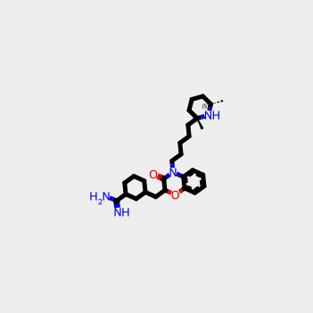 C[C@H]1CCC[C@@](C)(CCCCCN2C(=O)C(CC3CCCC(C(=N)N)C3)Oc3ccccc32)N1